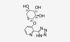 O[C@@H]1[C@@H](O)[C@H](Oc2cccnc2-c2nnn[nH]2)SC[C@H]1O